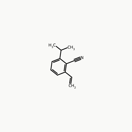 C=Cc1cccc(C(C)C)c1C#N